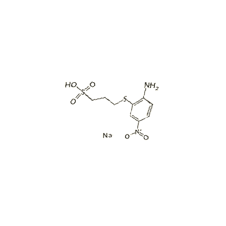 Nc1ccc([N+](=O)[O-])cc1SCCCS(=O)(=O)O.[Na]